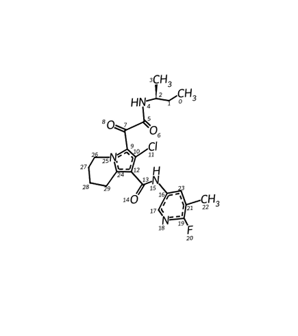 CC[C@H](C)NC(=O)C(=O)c1c(Cl)c(C(=O)Nc2cnc(F)c(C)c2)c2n1CCCC2